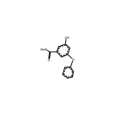 CNC(=O)c1cc(O)cc(Oc2ccccc2)c1